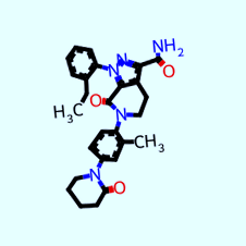 CCc1ccccc1-n1nc(C(N)=O)c2c1C(=O)N(c1ccc(N3CCCCC3=O)cc1C)CC2